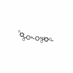 CCOc1ccc(C(=O)N[C@H]2CC[C@H](CCN3CCC(C(=O)c4ccc(F)cc4)CC3)CC2)cc1